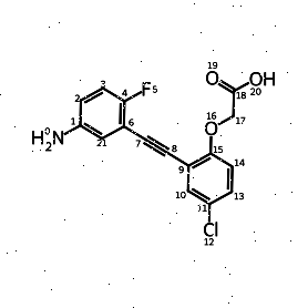 Nc1ccc(F)c(C#Cc2cc(Cl)ccc2OCC(=O)O)c1